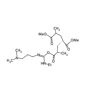 CCN/C(=N\CCCN(C)C)OC(=O)C(C)C[C@H](CC(C)C(=O)OC)C(=O)OC